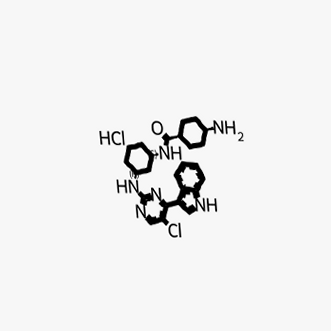 Cl.N[C@H]1CC[C@@H](C(=O)N[C@H]2CCC[C@@H](Nc3ncc(Cl)c(-c4c[nH]c5ccccc45)n3)C2)CC1